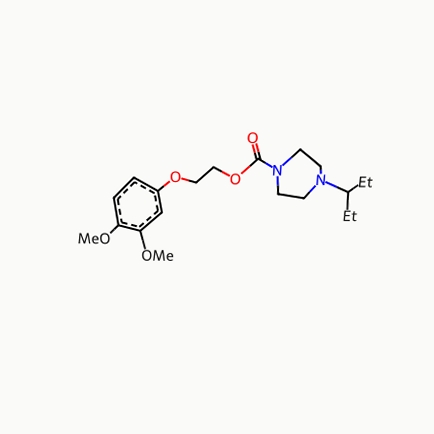 CCC(CC)N1CCN(C(=O)OCCOc2ccc(OC)c(OC)c2)CC1